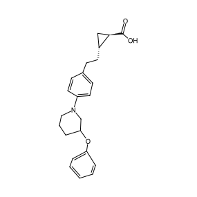 O=C(O)[C@@H]1C[C@H]1CCc1ccc(N2CCCC(Oc3ccccc3)C2)cc1